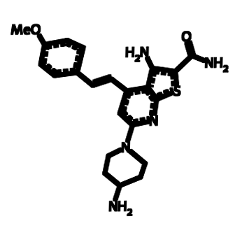 COc1ccc(/C=C/c2cc(N3CCC(N)CC3)nc3sc(C(N)=O)c(N)c23)cc1